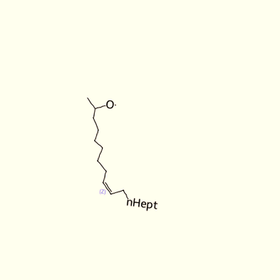 CCCCCCCC/C=C\CCCCCCC(C)[O]